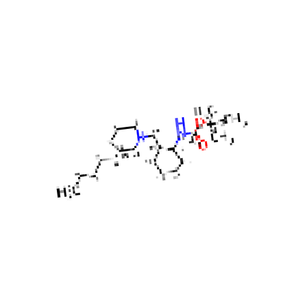 CCCCC[C@@H]1CCCN(CC2CCCCC2NC(=O)OC(C)(C)C)C1